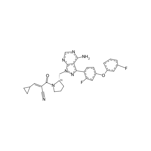 N#CC(=CC1CC1)C(=O)N1CCC[C@H]1Cn1nc(-c2ccc(Oc3cccc(F)c3)cc2F)c2c(N)ncnc21